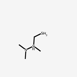 CN(C)[SiH](C)C[SiH3]